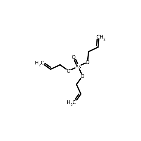 C=CCO[As](=O)(OCC=C)OCC=C